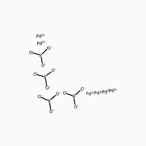 [O-]B([O-])[O-].[O-]B([O-])[O-].[O-]B([O-])[O-].[O-]B([O-])[O-].[Pd+2].[Pd+2].[Pd+2].[Pd+2].[Pd+2].[Pd+2]